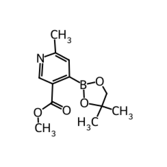 COC(=O)c1cnc(C)cc1B1OCC(C)(C)O1